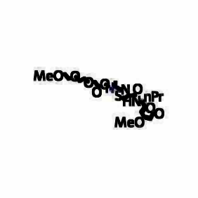 CCC[C@@H](NC(=O)C1CSC(/C(C)=N/OC(=O)COCCOCCOC)=N1)c1cc(OC)cc(=O)o1